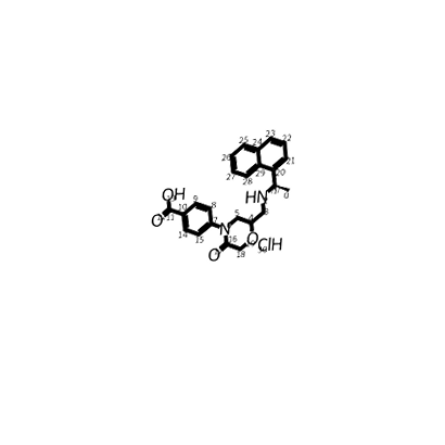 C[C@@H](NCC1CN(c2ccc(C(=O)O)cc2)C(=O)CO1)c1cccc2ccccc12.Cl